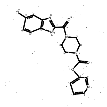 O=C(Oc1cccnc1)N1CCN(C(=O)c2nc3cc(Cl)ccc3[nH]2)CC1